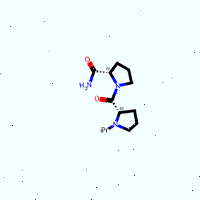 CC(C)N1CCC[C@H]1C(=O)N1CCC[C@H]1C(N)=O